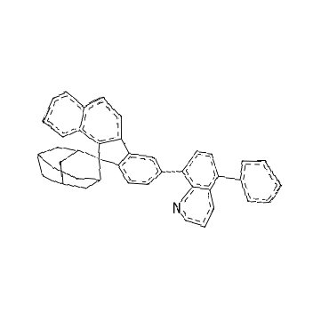 c1ccc(-c2ccc(-c3ccc4c(c3)-c3ccc5ccccc5c3C43C4CC5CC(C4)CC3C5)c3ncccc23)cc1